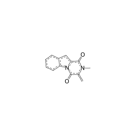 C=c1c(=O)n2c(cc3ccccc32)c(=O)n1C